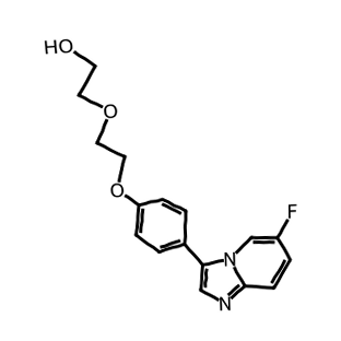 OCCOCCOc1ccc(-c2cnc3ccc(F)cn23)cc1